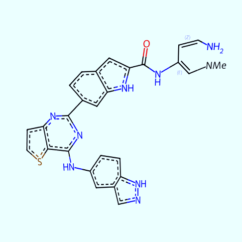 CN/C=C(\C=C/N)NC(=O)c1cc2ccc(-c3nc(Nc4ccc5[nH]ncc5c4)c4sccc4n3)cc2[nH]1